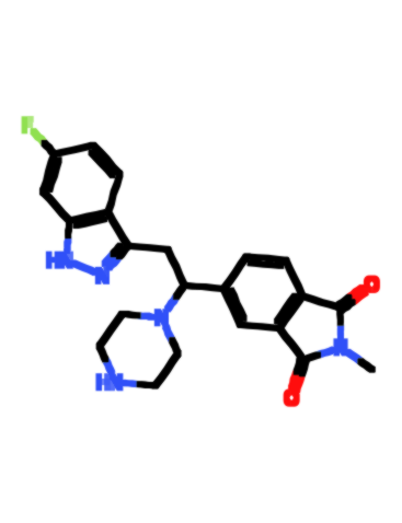 CN1C(=O)c2ccc(C(Cc3n[nH]c4cc(F)ccc34)N3CCNCC3)cc2C1=O